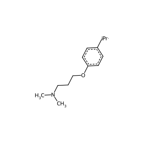 C[C](C)c1ccc(OCCCN(C)C)cc1